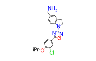 CC(C)Oc1ccc(-c2nc(N3CCc4cc(CN)ccc43)no2)cc1Cl